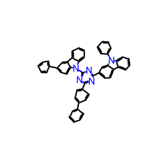 c1ccc(-c2ccc(-c3nc(-c4ccc5c6ccccc6n(-c6ccccc6)c5c4)nc(-n4c5ccccc5c5cc(-c6ccccc6)ccc54)n3)cc2)cc1